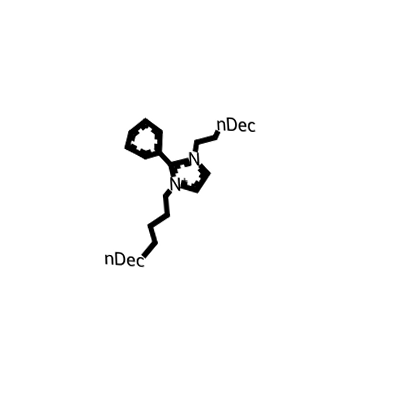 CCCCCCCCCCCCCC[n+]1ccn(CCCCCCCCCCCC)c1-c1ccccc1